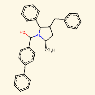 O=C(O)[C@@H]1CC(Cc2ccccc2)C(c2ccccc2)N1C(O)c1ccc(-c2ccccc2)cc1